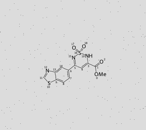 COC(=O)C1=CC(c2ccc3scnc3c2)=NS(=O)(=O)N1